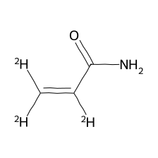 [2H]C([2H])=C([2H])C(N)=O